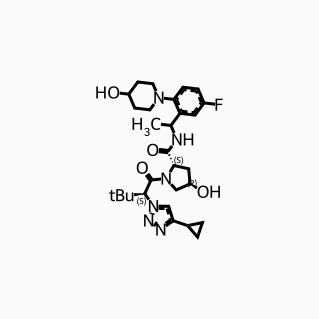 CC(NC(=O)[C@@H]1C[C@@H](O)CN1C(=O)[C@@H](n1cc(C2CC2)nn1)C(C)(C)C)c1cc(F)ccc1N1CCC(O)CC1